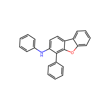 c1ccc(Nc2ccc3c(oc4ccccc43)c2-c2ccccc2)cc1